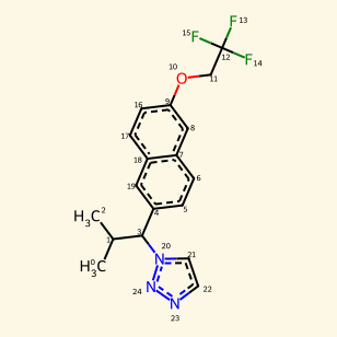 CC(C)C(c1ccc2cc(OCC(F)(F)F)ccc2c1)n1ccnn1